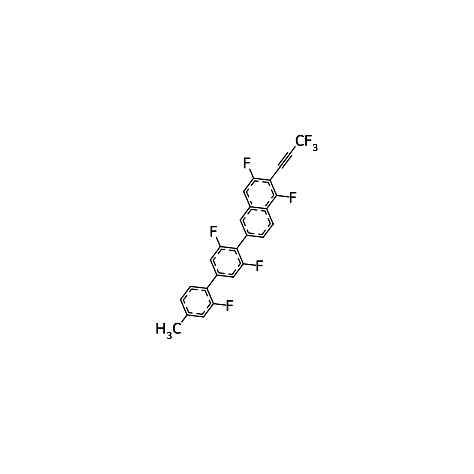 Cc1ccc(-c2cc(F)c(-c3ccc4c(F)c(C#CC(F)(F)F)c(F)cc4c3)c(F)c2)c(F)c1